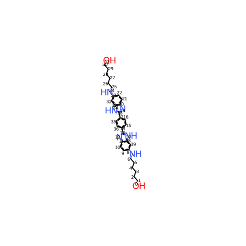 OCCCCCCNc1ccc2nc(-c3ccc(-c4nc5ccc(NCCCCCCO)cc5[nH]4)cc3)[nH]c2c1